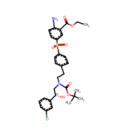 CCOC(=O)c1cc(S(=O)(=O)c2ccc(CCN(C[C@H](O)c3cccc(Cl)c3)C(=O)OC(C)(C)C)cc2)ccc1N